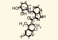 C[C@H](c1cc(F)cnc1Cl)N(C)C(=O)c1n[nH]c2ncnc(N[C@@H]3CCC[C@@H](O)[C@H]3O)c12